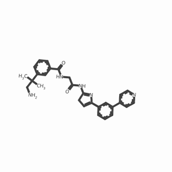 CC(C)(CN)c1cccc(C(=O)NCC(=O)NC2=NC(c3cccc(-c4ccncc4)c3)=CC2)c1